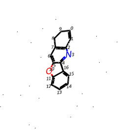 C1=Cc2nc3c(cc2CC1)oc1ccccc13